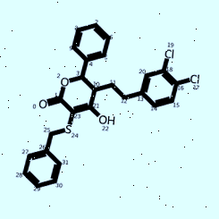 O=C1OC(c2ccccc2)C(CCc2ccc(Cl)c(Cl)c2)C(O)=C1SCc1ccccc1